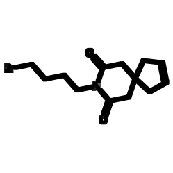 O=C1CC2(CC=CC2)CC(=O)N1CCCCBr